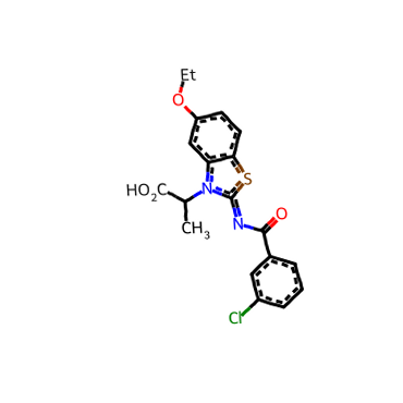 CCOc1ccc2sc(=NC(=O)c3cccc(Cl)c3)n(C(C)C(=O)O)c2c1